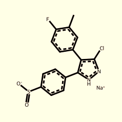 Cc1cc(-c2c(Cl)n[nH]c2-c2ccc(S(=O)[O-])cc2)ccc1F.[Na+]